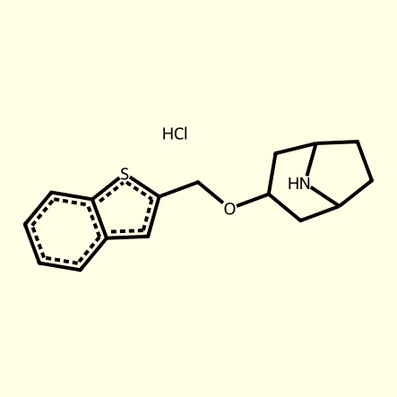 Cl.c1ccc2sc(COC3CC4CCC(C3)N4)cc2c1